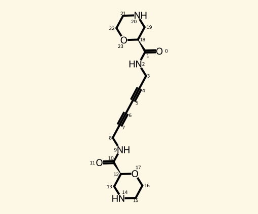 O=C(NCC#CC#CCNC(=O)[C@@H]1CNCCO1)[C@@H]1CNCCO1